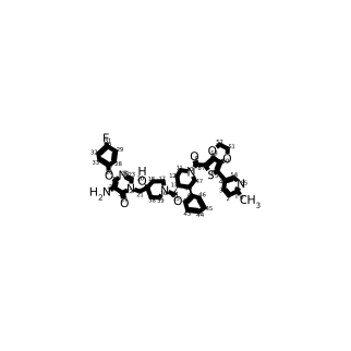 Cc1ccc(-c2sc(C(=O)N3CC[C@@H](C(=O)N4CCC(O)(Cn5cnc(Oc6ccc(F)cc6)c(N)c5=O)CC4)[C@H](c4ccccc4)C3)c3c2OCCO3)cn1